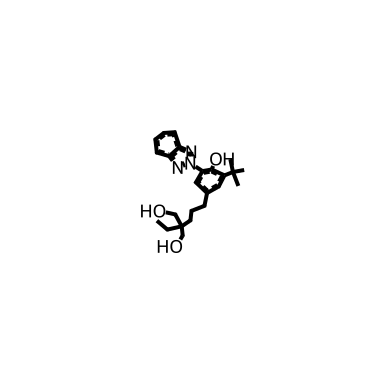 CCC(CO)(CO)CCCc1cc(-n2nc3ccccc3n2)c(O)c(C(C)(C)C)c1